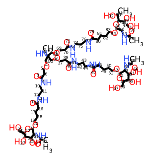 CNC(COCCC(=O)NCCCNC(=O)CCCCOC1OC(CO)C(O)C(O)C1NC(C)=O)(COCCC(=O)NCCCNC(=O)CCCCOC1OC(CO)C(O)C(O)C1NC(C)=O)COCCC(=O)NCCCNC(=O)CCCCOC(OC(CO)[C@@H](C)O)[C@H](CO)NC(C)=O